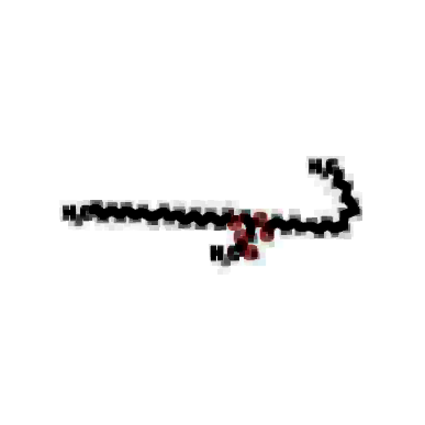 CCCCC/C=C\C/C=C\CCCCCCCC(=O)OC(COCCCCCCCCCCCCCCCCCC)COC(C)=O